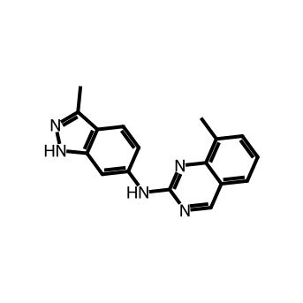 Cc1n[nH]c2cc(Nc3ncc4cccc(C)c4n3)ccc12